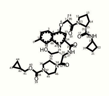 Cc1ccc2c(O[C@H](C)C(=O)N3CCC[C@H]3C(=O)NC3CCC3)cc(C(=O)N[C@@H](CCO)C(=O)N3CCN(C(=O)OCC4CC4)CC3)nc2c1